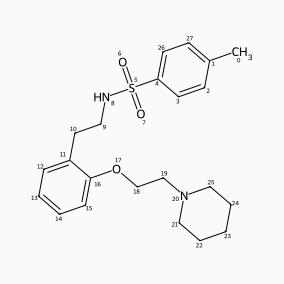 Cc1ccc(S(=O)(=O)NCCc2ccccc2OCCN2CCCCC2)cc1